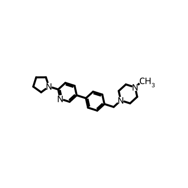 CN1CCN(Cc2ccc(-c3ccc(N4CCCC4)nc3)cc2)CC1